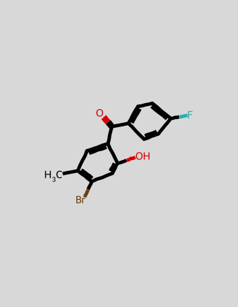 Cc1cc(C(=O)c2ccc(F)cc2)c(O)cc1Br